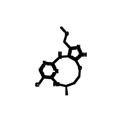 COCc1n[nH]c2c1Nc1ncc(Cl)c(n1)N[C@H](C)CCO2